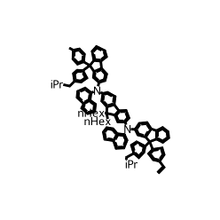 C=Cc1ccc(C2(c3ccc(CC(C)C)cc3)c3ccccc3-c3ccc(N(c4ccc5c(c4)C(CCCCCC)(CCCCCC)c4cc(N(c6ccc7c(c6)C(c6ccc(C)cc6)(c6ccc(CC(C)C)cc6)c6ccccc6-7)c6cccc7ccccc67)ccc4-5)c4cccc5ccccc45)cc32)cc1